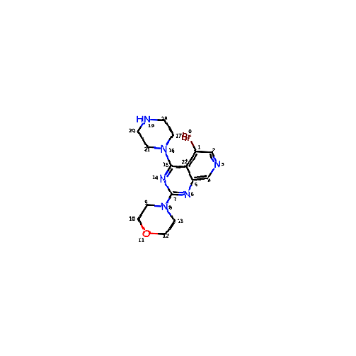 Brc1cncc2nc(N3CCOCC3)nc(N3CCNCC3)c12